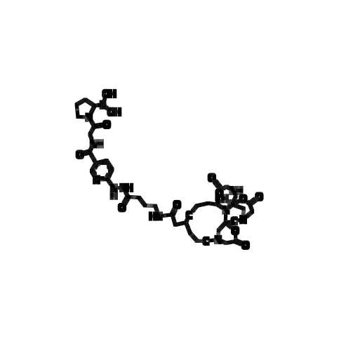 CC12CCCC(CC(=O)NCCCC(=O)NNc3ccc(C(=O)NCC(=O)N4CCC[C@H]4B(O)O)cn3)CCCN3CC(=O)OC4(C3)CN3CC(=O)OC(CNCC(=O)O1)(C3)N24